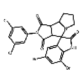 O=C1C2C3CCCN3C3(C(=O)Nc4c(Br)cc(Br)cc43)C2C(=O)N1c1cc(Cl)cc(Cl)c1